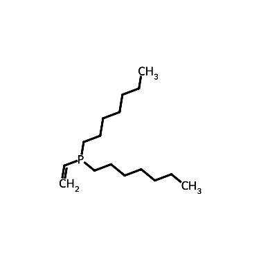 C=CP(CCCCCCC)CCCCCCC